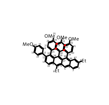 CCc1ccc2cc3c(CC)c4ccc(-c5ccc(OC)cc5)c(-c5ccc(OC)cc5)c4c(-c4ccc(OC)cc4)c3c(-c3ccc(OC)cc3)c2c1